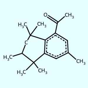 CC(=O)c1cc(C)cc2c1C(C)(C)CC(C)C2(C)C